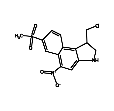 CS(=O)(=O)c1ccc2c3c(cc([N+](=O)[O-])c2c1)NCC3CCl